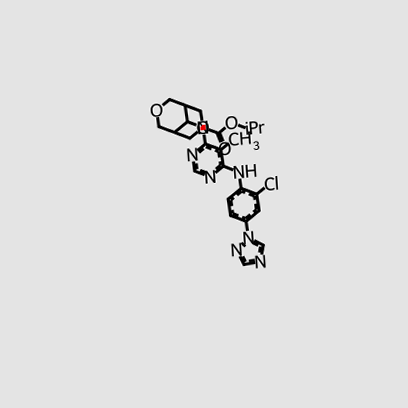 Cc1c(Nc2ccc(-n3cncn3)cc2Cl)ncnc1OC1C2COCC1CN(C(=O)OC(C)C)C2